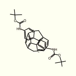 CC(C)(C)OC(=O)Nc1ccc(-c2cc3ccc2CCc2ccc(c(-c4ccc(NC(=O)OC(C)(C)C)cc4)c2)CC3)cc1